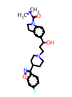 CN(C)C(=O)N1CCc2cc(C(O)CCN3CCC(c4noc5cc(F)ccc45)CC3)ccc21